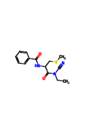 CCN(C#N)C(=O)C(CSC)NC(=O)c1ccccc1